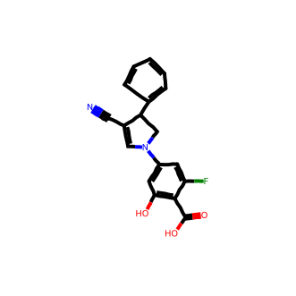 N#CC1=CN(c2cc(O)c(C(=O)O)c(F)c2)CC1c1ccccc1